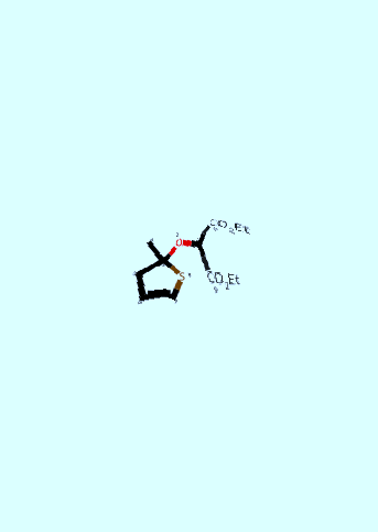 CCOC(=O)C(OC1(C)CC=CS1)C(=O)OCC